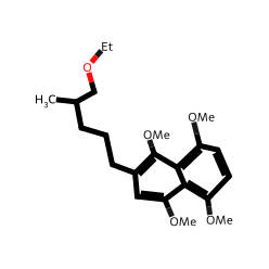 CCOCC(C)CCCc1cc(OC)c2c(OC)ccc(OC)c2c1OC